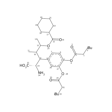 CCC(C)CC(=O)Oc1ccc(C(C(C)C(C)OC(=O)C2CCCCC2)[C@H](N)C(=O)O)cc1OC(=O)CC(C)CC